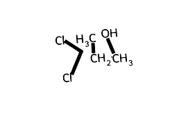 CO.ClCCl.[CH2]C